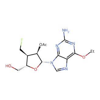 CCOc1nc(N)nc2c1ncn2[C@@H]1O[C@H](CO)[C@@H](CF)[C@H]1OC(C)=O